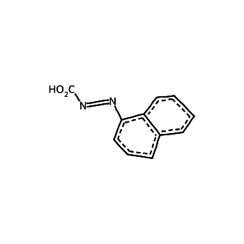 O=C(O)N=Nc1cccc2ccccc12